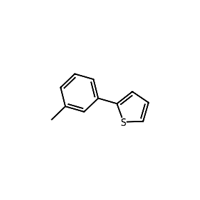 Cc1cccc(-c2cccs2)c1